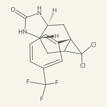 O=C1N[C@H]2CC3C(Cl)(Cl)[C@@]3(c3cccc(C(F)(F)F)c3)C[C@@H]2N1